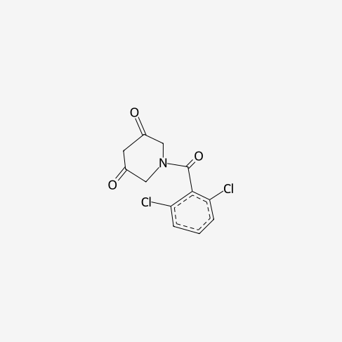 O=C1CC(=O)CN(C(=O)c2c(Cl)cccc2Cl)C1